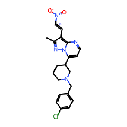 Cc1nn2c(C3CCCN(Cc4ccc(Cl)cc4)C3)ccnc2c1/C=C/[N+](=O)[O-]